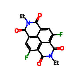 CCN1C(=O)c2cc(F)c3c4c(c(F)cc(c24)C1=O)C(=O)N(CC)C3=O